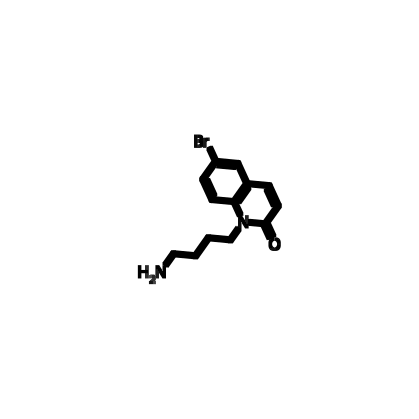 NCCCCn1c(=O)ccc2cc(Br)ccc21